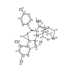 NC(=O)[C@H](Cc1ccc(Cl)cc1)N(C(=O)C1(c2ccc(Cl)cc2Cl)CC1)[C@@H]1CN2CCC1CC2